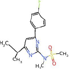 CC(C)c1cc(-c2ccc(F)cc2)nc(N(C)S(C)(=O)=O)n1